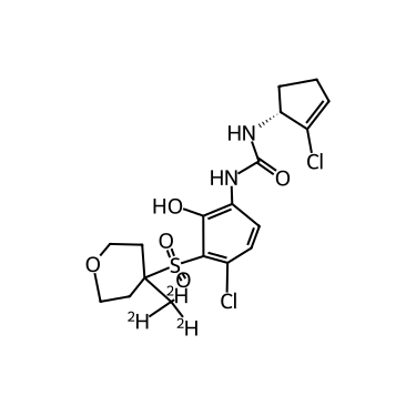 [2H]C([2H])([2H])C1(S(=O)(=O)c2c(Cl)ccc(NC(=O)N[C@@H]3CCC=C3Cl)c2O)CCOCC1